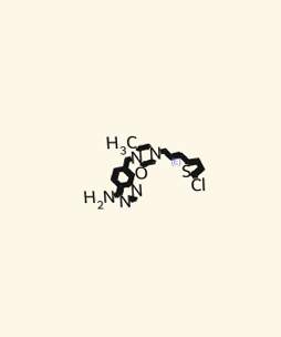 CC1CN(C/C=C/c2ccc(Cl)s2)CC(=O)N1Cc1ccc2c(N)ncnc2c1